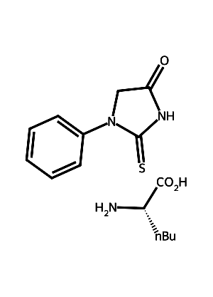 CCCC[C@H](N)C(=O)O.O=C1CN(c2ccccc2)C(=S)N1